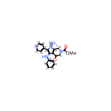 COC(=O)N1CC(=O)c2c(Nc3ccccc3)c(-c3ccncc3)n(N)c2C1